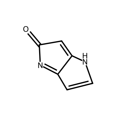 O=C1C=c2[nH]ccc2=N1